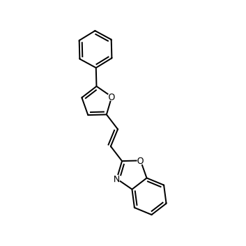 C(=C\c1nc2ccccc2o1)/c1ccc(-c2ccccc2)o1